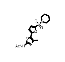 CC(=O)Nc1nc(C)c(-c2ccc(S(=O)(=O)N3CCCCC3)o2)s1